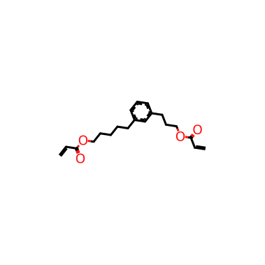 C=CC(=O)OCCCCCc1cccc(CCCOC(=O)C=C)c1